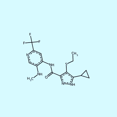 CCSc1c(C(=O)Nc2cc(C(F)(F)F)ncc2NC)n[nH]c1C1CC1